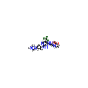 Cc1cc(N2CCN(C)CC2)ccc1Nc1cc(NCCCN2CCCOC2=O)c(C(F)(F)F)cn1